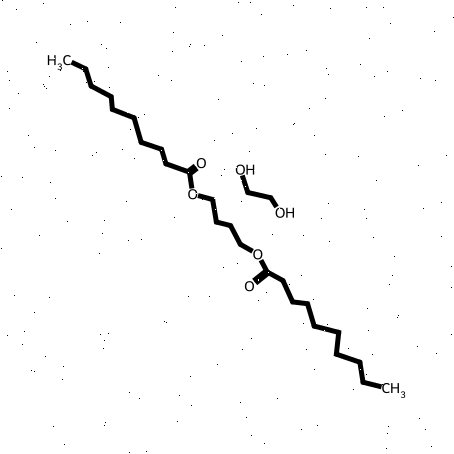 CCCCCCCCCC(=O)OCCCCOC(=O)CCCCCCCCC.OCCO